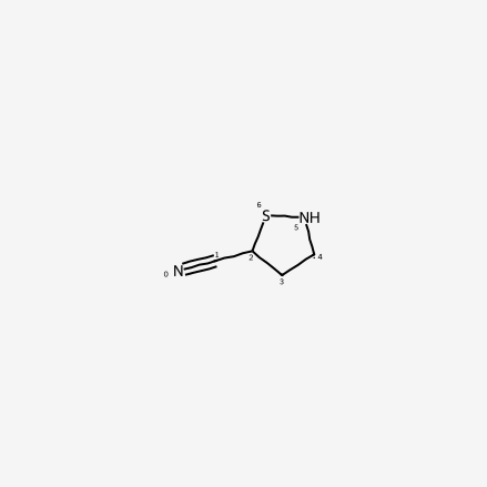 N#CC1C[CH]NS1